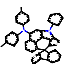 Cc1ccc(N(c2ccc(C)cc2)c2cc3c4c5c(cccc25)C2(c5ccccc5-c5ccccc52)c2cccc(c24)n3-c2ccccc2)cc1